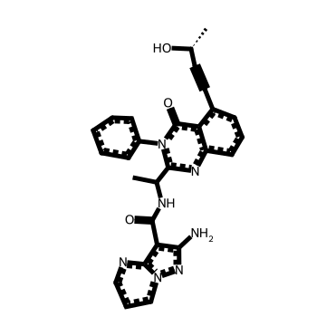 CC(NC(=O)c1c(N)nn2cccnc12)c1nc2cccc(C#C[C@@H](C)O)c2c(=O)n1-c1ccccc1